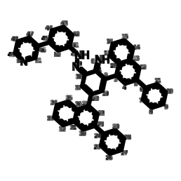 N=C1C(c2cc(-c3ccccc3)cc3ccccc23)=CC(c2cc(-c3ccccc3)cc3ccccc23)=C/C1=N/Nc1cccc(-c2cccnc2)c1